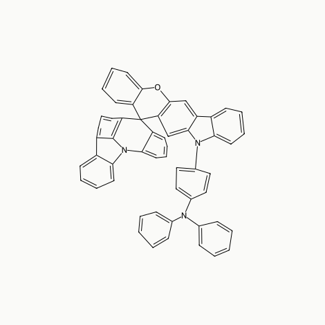 c1ccc(N(c2ccccc2)c2ccc(-n3c4ccccc4c4cc5c(cc43)C3(c4ccccc4O5)c4ccccc4-n4c5ccccc5c5cccc3c54)cc2)cc1